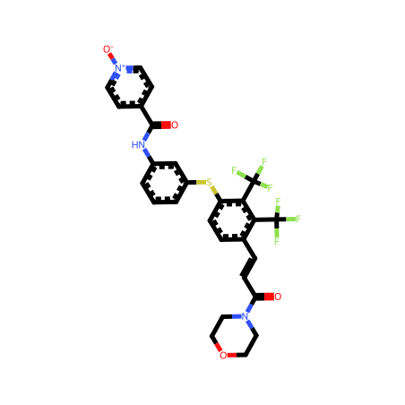 O=C(Nc1cccc(Sc2ccc(C=CC(=O)N3CCOCC3)c(C(F)(F)F)c2C(F)(F)F)c1)c1cc[n+]([O-])cc1